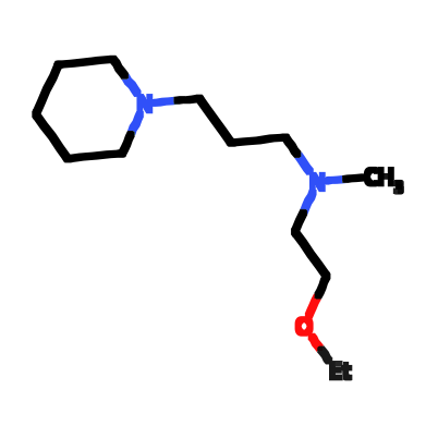 CCOCCN(C)CCCN1CCCCC1